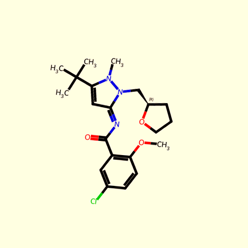 COc1ccc(Cl)cc1C(=O)N=c1cc(C(C)(C)C)n(C)n1C[C@H]1CCCO1